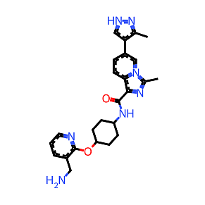 Cc1n[nH]cc1-c1ccc2c(C(=O)NC3CCC(Oc4ncccc4CN)CC3)nc(C)n2c1